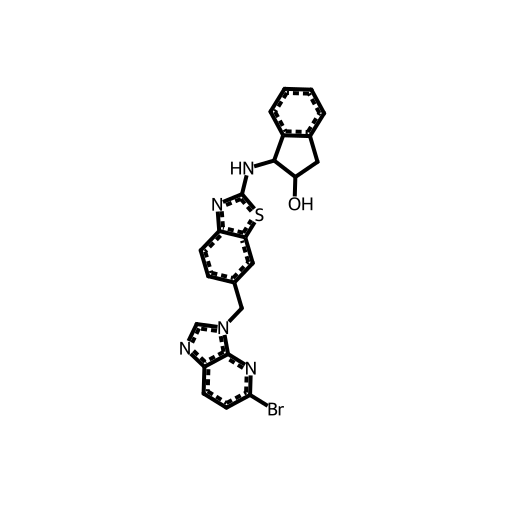 OC1Cc2ccccc2C1Nc1nc2ccc(Cn3cnc4ccc(Br)nc43)cc2s1